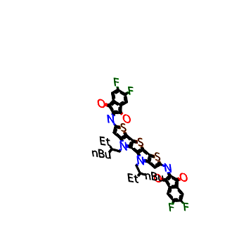 CCCCC(CC)Cn1c2cc(N=c3c(=O)c4cc(F)c(F)cc4c3=O)sc2c2sc3c4sc(N=c5c(=O)c6cc(F)c(F)cc6c5=O)cc4n(CC(CC)CCCC)c3c21